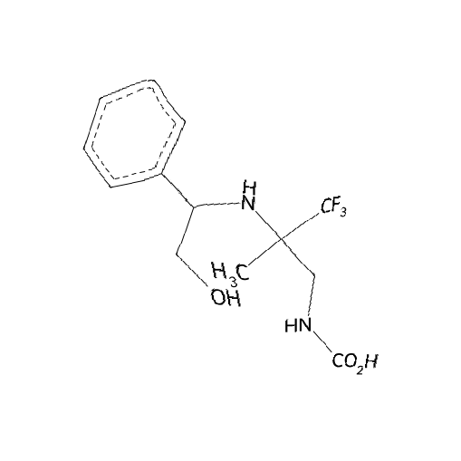 CC(CNC(=O)O)(NC(CO)c1ccccc1)C(F)(F)F